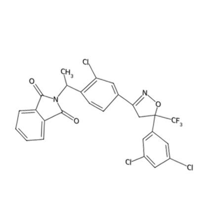 CC(c1ccc(C2=NOC(c3cc(Cl)cc(Cl)c3)(C(F)(F)F)C2)cc1Cl)N1C(=O)c2ccccc2C1=O